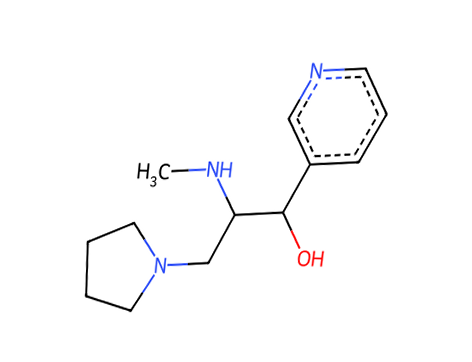 CNC(CN1CCCC1)C(O)c1cccnc1